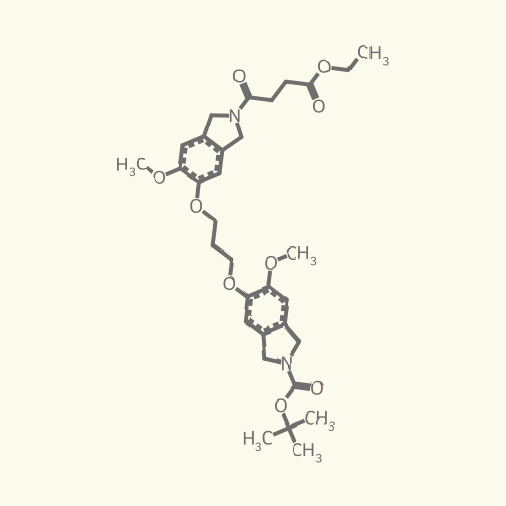 CCOC(=O)CCC(=O)N1Cc2cc(OC)c(OCCCOc3cc4c(cc3OC)CN(C(=O)OC(C)(C)C)C4)cc2C1